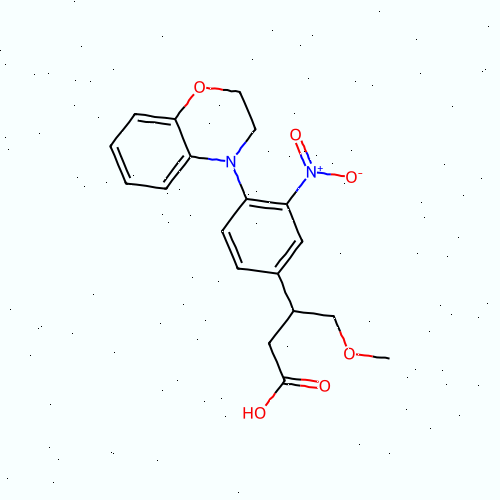 COCC(CC(=O)O)c1ccc(N2CCOc3ccccc32)c([N+](=O)[O-])c1